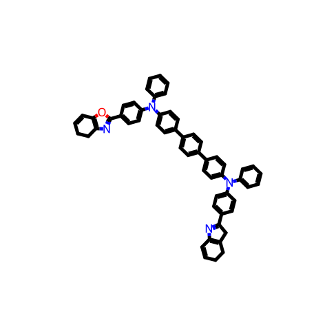 C1=CC2=C(CC1)CC(c1ccc(N(c3ccccc3)c3ccc(-c4ccc(-c5ccc(N(c6ccccc6)c6ccc(-c7nc8c(o7)C=CCC8)cc6)cc5)cc4)cc3)cc1)=N2